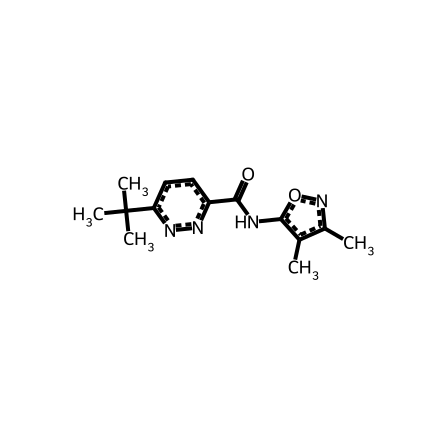 Cc1noc(NC(=O)c2ccc(C(C)(C)C)nn2)c1C